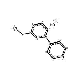 Cl.Cl.NCc1cccc(-c2ccncc2)c1